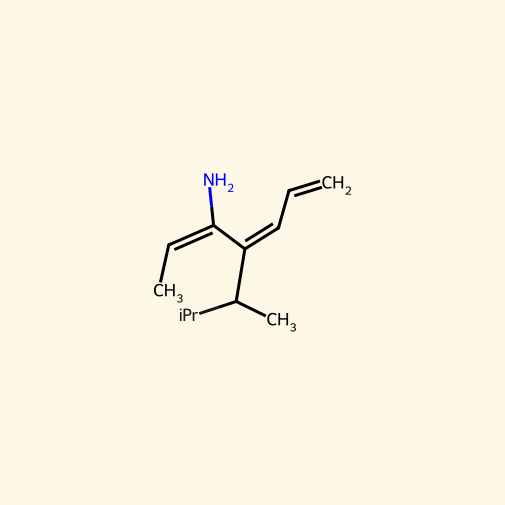 C=C/C=C(\C(N)=C/C)C(C)C(C)C